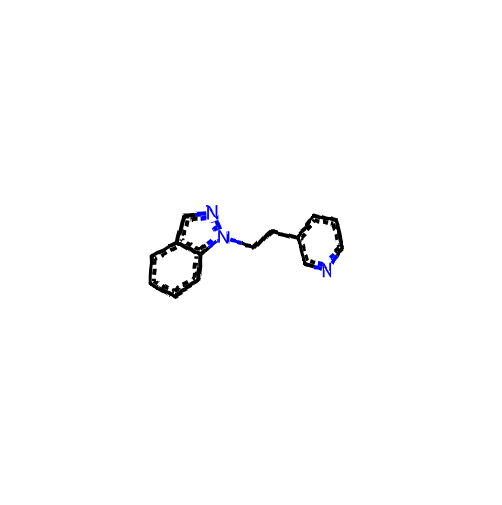 c1cncc(CCn2ncc3ccccc32)c1